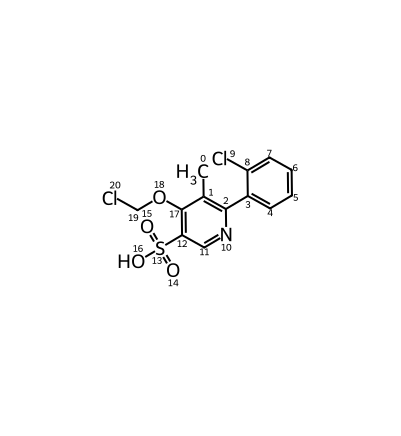 Cc1c(-c2ccccc2Cl)ncc(S(=O)(=O)O)c1OCCl